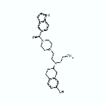 CCCN(CCN1CCN(C(=O)c2ccc3[nH]ccc3c2)CC1)C1CCc2ccc(O)cc2C1